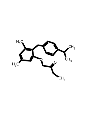 CCC(=O)COc1cc(C)cc(C)c1Cc1ccc(C(C)C)cc1